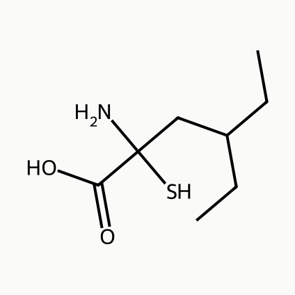 CCC(CC)CC(N)(S)C(=O)O